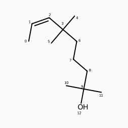 C/C=C\C(C)(C)CCCC(C)(C)O